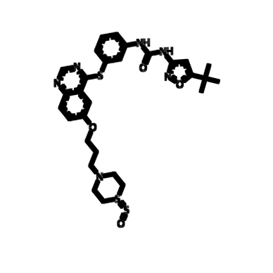 CC(C)(C)c1cc(NC(=O)Nc2cccc(Sc3ncnc4ccc(OCCCN5CCS(=S=O)CC5)cc34)c2)no1